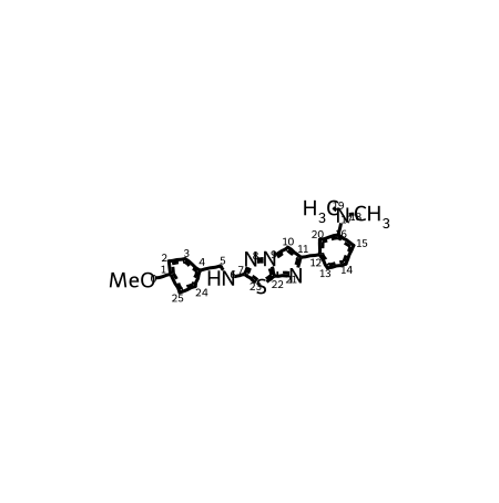 COc1ccc(CNc2nn3cc(-c4cccc(N(C)C)c4)nc3s2)cc1